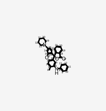 Cc1cc2c(cc1Nc1ccccc1)C1(OC(=O)c3ccccc31)c1ccc(N3CCCCC3)cc1O2